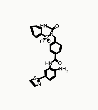 Nc1ccc(-c2nccs2)cc1NC(=O)c1ccc(CN2C(=O)Nc3ccccc3S2(=O)=O)cc1